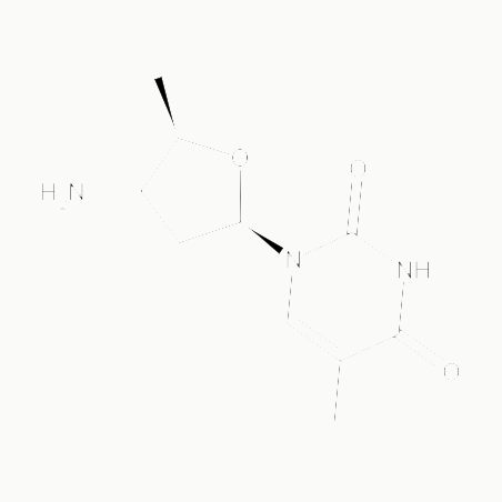 Cc1cn([C@H]2C[C@H](N)[C@@H](C)O2)c(=O)[nH]c1=O